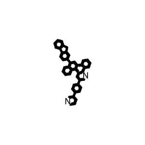 c1cncc(-c2ccc(-c3cnc4c5ccccc5c5cc(-c6ccc7c(c6)Cc6ccccc6-7)c6ccccc6c5c4c3)cc2)c1